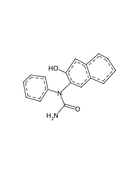 NC(=O)N(c1ccccc1)c1cc2ccccc2cc1O